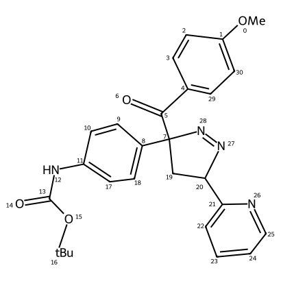 COc1ccc(C(=O)C2(c3ccc(NC(=O)OC(C)(C)C)cc3)CC(c3ccccn3)N=N2)cc1